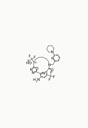 Nc1cc(C(F)(F)F)c2nc1-c1nnc(o1)[C@@](O)(C(F)(F)F)CCCCCN(Cc1cccc(N3CCCCC3)n1)C2=O